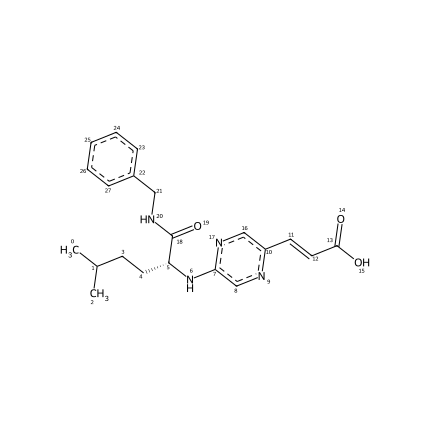 CC(C)CC[C@@H](Nc1cnc(/C=C/C(=O)O)cn1)C(=O)NCc1ccccc1